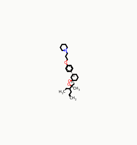 C=CCC(CC)[C@]1(C)C[C@]2(CCC[C@@H](c3ccc(OCCCN4CCCCC4)cc3)C2)OO1